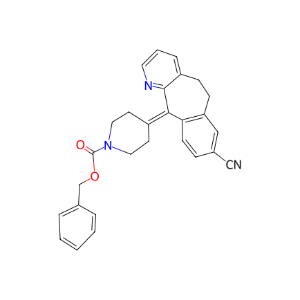 N#Cc1ccc2c(c1)CCc1cccnc1C2=C1CCN(C(=O)OCc2ccccc2)CC1